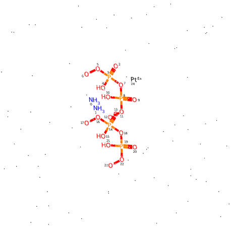 N.N.O=P(O)(O[O-])OP(=O)(O)O[O-].O=P(O)(O[O-])OP(=O)(O)O[O-].[Pt+4]